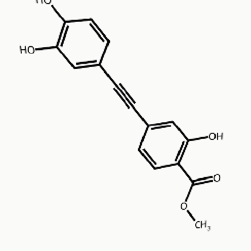 COC(=O)c1ccc(C#Cc2ccc(O)c(O)c2)cc1O